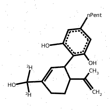 [2H]C([2H])(O)C1=CC(c2c(O)cc(CCCCC)cc2O)C(C(=C)C)CC1